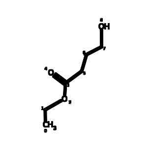 CCOC(=O)C[CH]CO